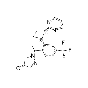 CC(c1ccc(C(F)(F)F)cc1[C@@H]1CC[C@H]1c1ncccn1)N1CC(=O)C=N1